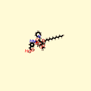 CCCCCCCCCCCCO[C@@H]1[C@H]2OC(C)(C)O[C@H]2O[C@@H]1[C@@H](CN1CCCCCC1)OC(=O)Nc1ccc(CC(=O)O)cc1